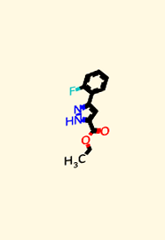 CCOC(=O)c1cc(-c2ccccc2F)n[nH]1